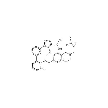 COc1c(C(O)O)cnn1-c1cccc(-c2cccc(C)c2OCc2ccc3c(c2)CCN(CC2CC2(F)F)C3)n1